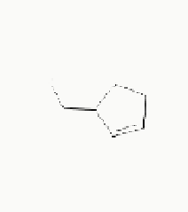 [O]CC1C=CCC1